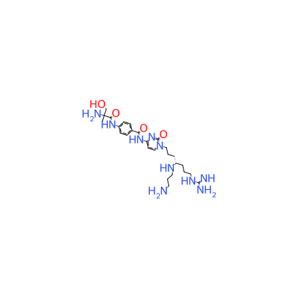 CC(N)(CO)C(=O)Nc1ccc(C(=O)Nc2ccn(CCC[C@H](CCCNC(=N)N)NCCCN)c(=O)n2)cc1